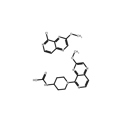 COc1cnc2ccnc(Cl)c2n1.COc1cnc2ccnc(N3CCC(NC(=O)O)CC3)c2n1